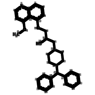 COc1ccnc2cccc(OCC(O)CN3CCN(C(c4ccccc4)c4ccccc4)CC3)c12